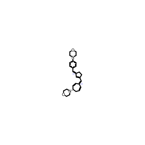 C1=C/C(=C/C2=CC(=C/c3ccc(N4CCOCC4)cc3)/CC2)C=CC(=[N+]2CCOCC2)C1